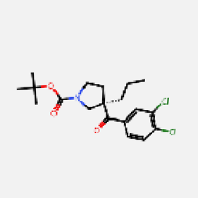 CCC[C@@]1(C(=O)c2ccc(Cl)c(Cl)c2)CCN(C(=O)OC(C)(C)C)C1